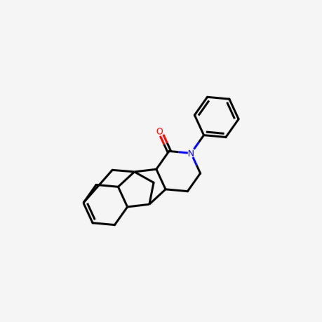 O=C1C2C(CCN1c1ccccc1)C1CC23CC2=CCC1C3C2